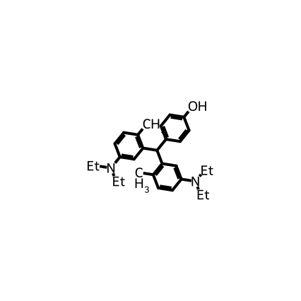 CCN(CC)c1ccc(C)c(C(c2ccc(O)cc2)c2cc(N(CC)CC)ccc2C)c1